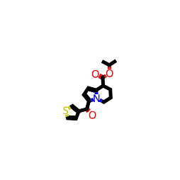 CC(C)OC(=O)C1CCCn2c(C(=O)c3ccsc3)ccc21